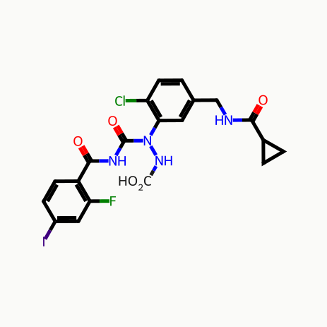 O=C(O)NN(C(=O)NC(=O)c1ccc(I)cc1F)c1cc(CNC(=O)C2CC2)ccc1Cl